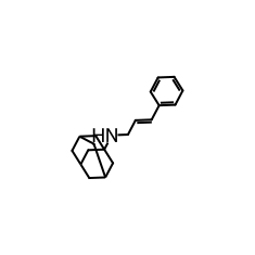 C(=Cc1ccccc1)CNC12CC3CC(CC(C3)C1)C2